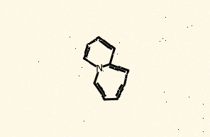 C1=CC=C2C=CC=CN2C=C1